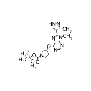 Cc1n[nH]cc1-c1nc2c(O[C@H]3CCN(C(=O)OC(C)(C)C)C3)ncnc2n1C